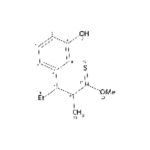 CCC(c1cccc(O)c1)C(C)C(=S)OC